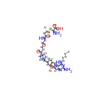 CCCCCNc1nc(N)nc2ccn(Cc3ccc(CN4CCN(C(=O)CCOCCNC(=O)C[C@H](C)SC[C@H](N)C(=O)O)CC4)cc3OC)c12